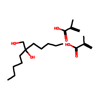 C=C(C)C(=O)O.C=C(C)C(=O)O.CCCCCC(O)(CO)CCCCC